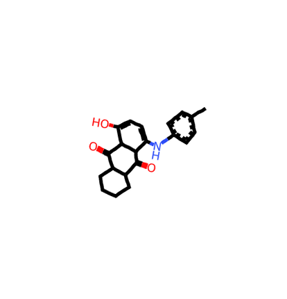 Cc1ccc(NC2=CC=C(O)C3C(=O)C4CCCCC4C(=O)C23)cc1